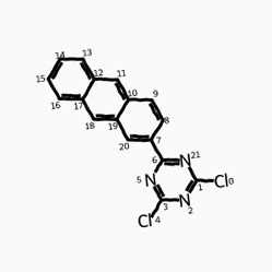 Clc1nc(Cl)nc(-c2ccc3cc4ccccc4cc3c2)n1